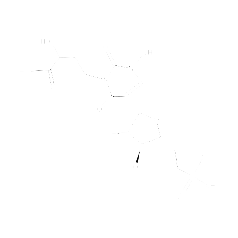 C=P(C)(C)CC[C@H]1O[C@@H](c2cn(C)c(=O)n(CCC(C)C(=O)O)c2=O)C(O)[C@@H]1O